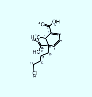 CC1C(C(=O)O)=CC=CC1(CCCCCl)C(=O)O